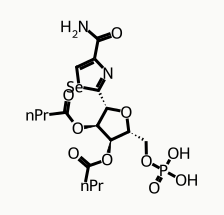 CCCC(=O)O[C@@H]1[C@H](OC(=O)CCC)[C@@H](COP(=O)(O)O)O[C@H]1c1nc(C(N)=O)c[se]1